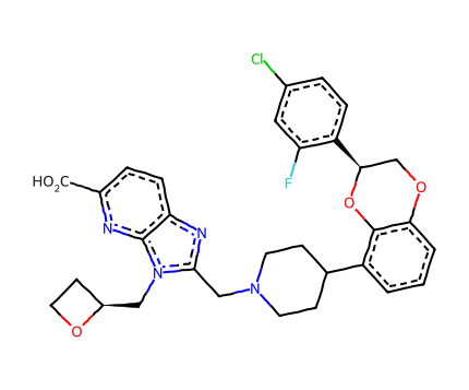 O=C(O)c1ccc2nc(CN3CCC(c4cccc5c4O[C@@H](c4ccc(Cl)cc4F)CO5)CC3)n(C[C@@H]3CCO3)c2n1